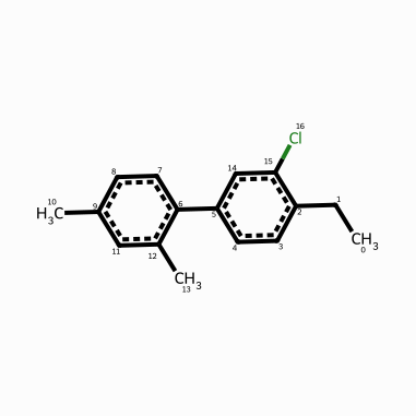 CCc1ccc(-c2ccc(C)cc2C)cc1Cl